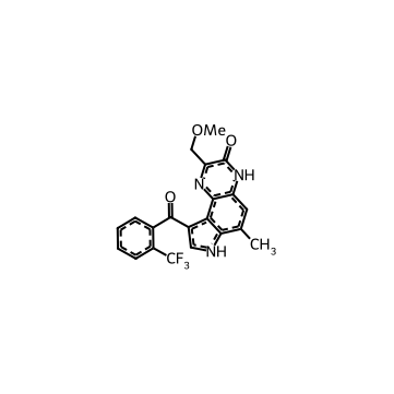 COCc1nc2c(cc(C)c3[nH]cc(C(=O)c4ccccc4C(F)(F)F)c32)[nH]c1=O